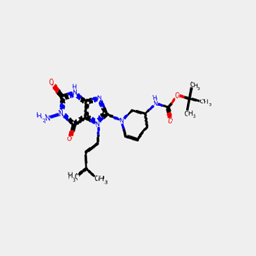 CC(C)CCn1c(N2CCCC(NC(=O)OC(C)(C)C)C2)nc2[nH]c(=O)n(N)c(=O)c21